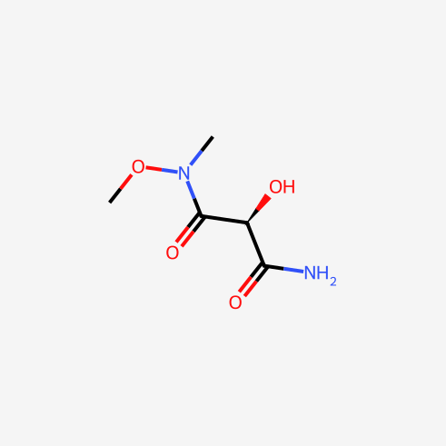 CON(C)C(=O)[C@@H](O)C(N)=O